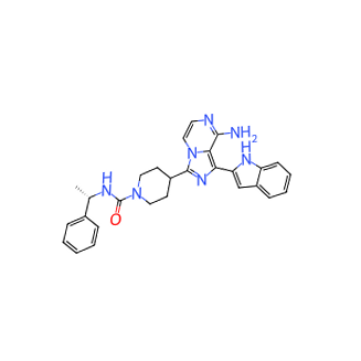 C[C@H](NC(=O)N1CCC(c2nc(-c3cc4ccccc4[nH]3)c3c(N)nccn23)CC1)c1ccccc1